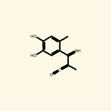 CC(=C=O)C(=N)c1cc(O)c(O)cc1C